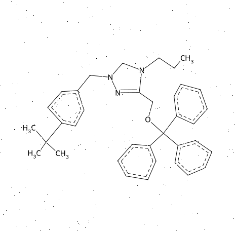 CCCN1CN(Cc2ccc(C(C)(C)C)cc2)N=C1COC(c1ccccc1)(c1ccccc1)c1ccccc1